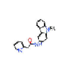 CCn1c2ccccc2c2cc(NC(=O)Cc3ccccn3)ccc21